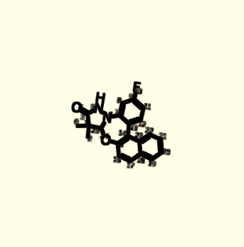 CC1(C)C(=O)NN2c3cc(F)ccc3-c3c(ccc4ccccc34)OC21